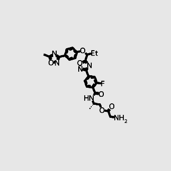 CCC(Oc1ccc(-c2noc(C)n2)cc1)c1nc(-c2ccc(C(=O)N[C@@H](C)COC(=O)CN)c(F)c2)no1